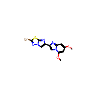 COc1cc(OC)n2cc(-c3cn4nc(Br)sc4n3)nc2c1